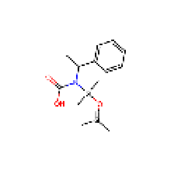 CC(c1ccccc1)N(C(=O)O)[Si](C)(C)O[SiH](C)C